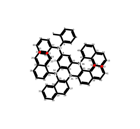 Cc1ccccc1N(c1cc2c3c(c1)N(c1cccc4ccccc14)c1c(ccc4ccccc14)B3c1ccc3ccccc3c1N2c1cccc2ccccc12)c1ccccc1C